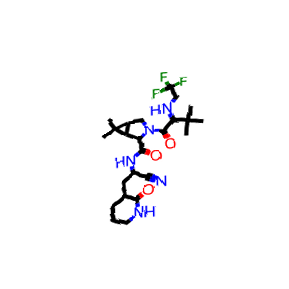 CC(C)(C)C(NCC(F)(F)F)C(=O)N1CC2C(C1C(=O)NC(C#N)CC1CCCNC1=O)C2(C)C